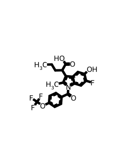 CCCC(C(=O)O)c1c(C)n(C(=O)c2ccc(OC(F)(F)F)cc2)c2cc(F)c(O)cc12